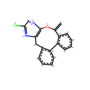 C=C1O/C(N)=C(/N=C(\C)Cl)Cc2ccccc2-c2ccccc21